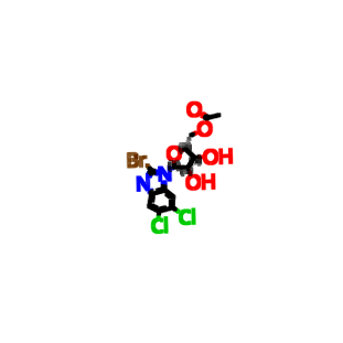 CC(=O)OC[C@H]1O[C@@H](n2c(Br)nc3cc(Cl)c(Cl)cc32)[C@H](O)[C@@H]1O